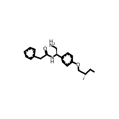 CC[C@H](C)COc1ccc([C@H](CN)NC(=O)Cc2ccccc2)cc1